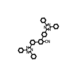 N#Cc1ccc(-c2cccc(-c3nc(-c4ccccc4)nc(-c4ccccc4)n3)c2)cc1-c1ccc(-c2nc(-c3ccccc3)nc(-c3ccccc3)n2)cc1